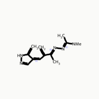 C=C(/C=c1/cn[nH]c1=C)/C(C)=N/N=C(\C)NC